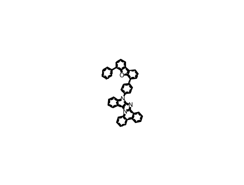 c1ccc(-c2cccc3c2oc2c(-c4ccc(-n5c6ccccc6c6c5nc5c7ccccc7c7ccccc7n56)cc4)cccc23)cc1